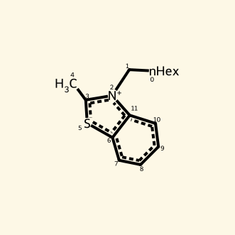 CCCCCCC[n+]1c(C)sc2ccccc21